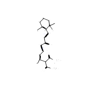 COC(=O)C(C(=O)OC)C(C)=C/C=C/C(=O)/C=C/C1=C(C)CCCC1(C)C